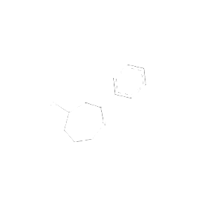 ClC1CCC[N]C(c2ccccc2)C1